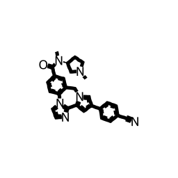 CN1CC[C@@H](N(C)C(=O)c2ccc3c(c2)Cn2cc(-c4ccc(C#N)cc4)cc2-c2nccn2-3)C1